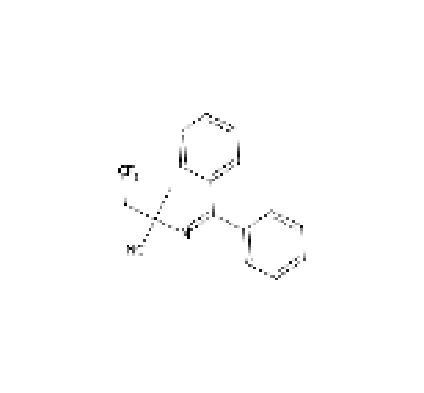 CC(C#N)(CC(F)(F)F)N=C(c1ccccc1)c1ccccc1